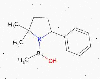 CB(O)N1C(c2ccccc2)CCC1(C)C